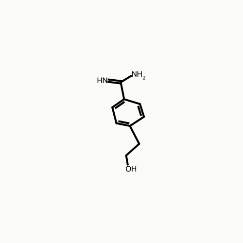 N=C(N)c1ccc(CCO)cc1